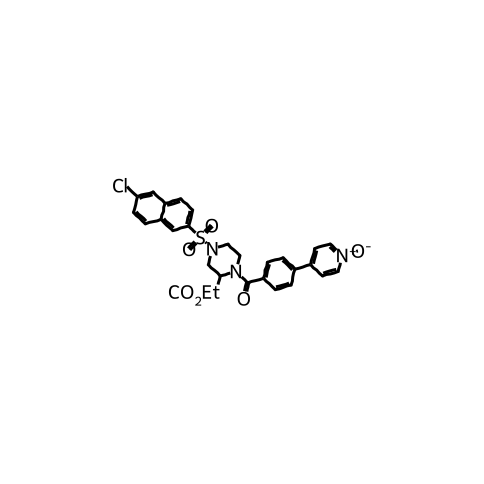 CCOC(=O)C1CN(S(=O)(=O)c2ccc3cc(Cl)ccc3c2)CCN1C(=O)c1ccc(-c2cc[n+]([O-])cc2)cc1